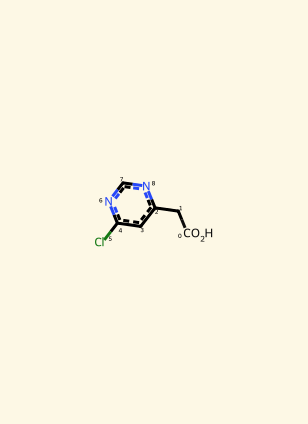 O=C(O)Cc1cc(Cl)ncn1